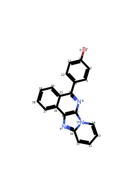 Brc1ccc(-c2nc3c(nc4ccccn43)c3ccccc23)cc1